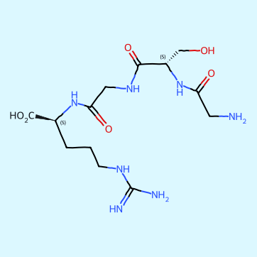 N=C(N)NCCC[C@H](NC(=O)CNC(=O)[C@H](CO)NC(=O)CN)C(=O)O